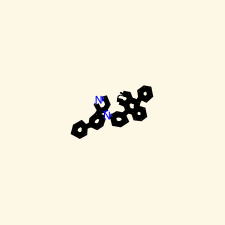 C1=NCCc2c1c1cc(-c3ccccc3)ccc1n2-c1cccc(-c2c3ccccc3c(-c3ccccc3)c3ccccc23)c1